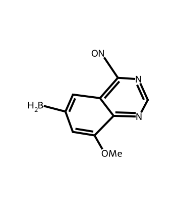 Bc1cc(OC)c2ncnc(N=O)c2c1